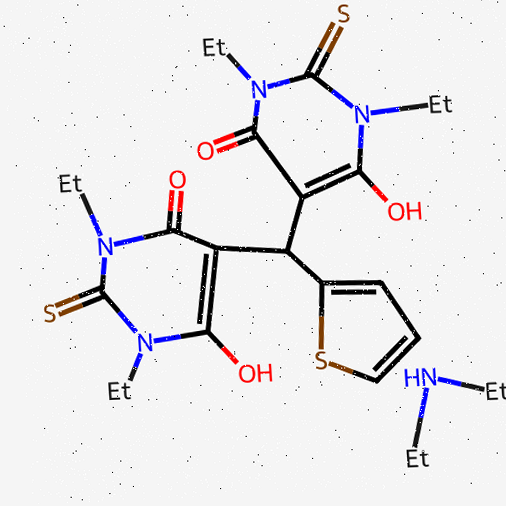 CCNCC.CCn1c(O)c(C(c2cccs2)c2c(O)n(CC)c(=S)n(CC)c2=O)c(=O)n(CC)c1=S